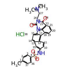 Cc1ccc(S(=O)(=O)Nc2ccc3c(ccc4c3c3cccc5c(=O)n(CCN(C)C)c(=O)n4c53)c2)cc1.Cl